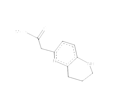 COC(=O)Cc1ccc2c(n1)CCCN2